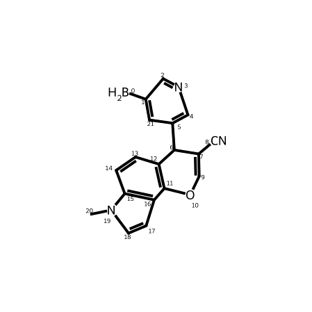 Bc1cncc(C2C(C#N)=COc3c2ccc2c3ccn2C)c1